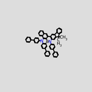 CC1(C)c2ccccc2-c2cc3c(cc21)N(c1ccc(-c2ccccc2)cc1)B1c2cc(-c4ccccc4)ccc2N(c2ccc(-c4ccccc4)cc2)c2c1c-3cc1ccccc21